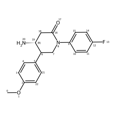 COc1ccc(C2CN(c3ccc(F)cc3)C(=O)C[C@H]2N)cc1